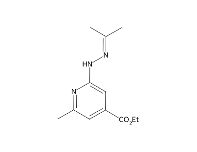 CCOC(=O)c1cc(C)nc(NN=C(C)C)c1